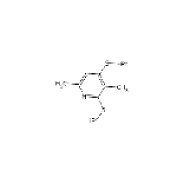 Cc1cc(SC(C)C)c(C)c(SC(C)C)n1